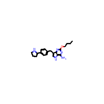 CCCCOc1nc(N)c2[nH]cc(Cc3ccc(C4CCCN4)cc3)c2n1